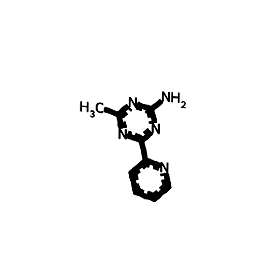 Cc1nc(N)nc(-c2ccccn2)n1